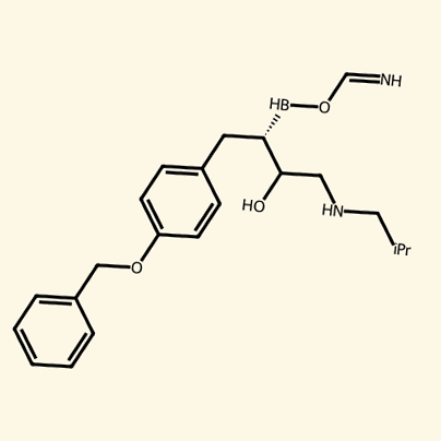 CC(C)CNCC(O)[C@@H](BOC=N)Cc1ccc(OCc2ccccc2)cc1